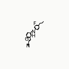 CCCc1ccc(NCc2ccc3oc(C#N)cc3c2)cc1F